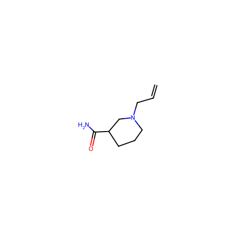 C=CCN1CCCC(C(N)=O)C1